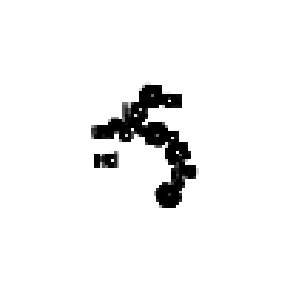 CC(C)(C)OC(=O)N[C@@H](COc1cccc(C#N)c1)Cc1ccc(OC2CCN(C(=O)OCc3ccccc3)CC2)cc1.Cl